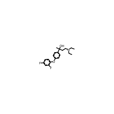 CCN(CC)CCC(C)(O)c1ccc(Oc2ccc(F)cc2F)cc1